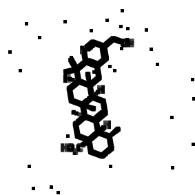 C[C@H]1CCC[C@]2(C(=O)O)CC[C@]3(C)C(=CC[C@@H]4[C@@]5(C)Cc6cc(CO)cnc6C(C)(C)[C@@H]5CC[C@]43C)[C@H]12